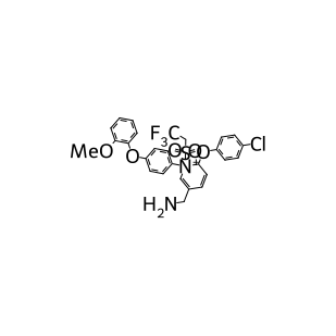 COc1ccccc1Oc1ccc([N+]2(S(=O)(=O)CC(F)(F)F)C=C(CN)C=CC2Oc2ccc(Cl)cc2)cc1